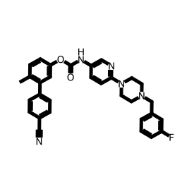 Cc1ccc(OC(=O)Nc2ccc(N3CCN(Cc4cccc(F)c4)CC3)nc2)cc1-c1ccc(C#N)cc1